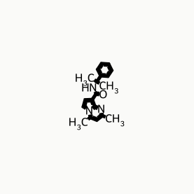 Cc1cc(C)n2ccc(C(=O)NC(C)(C)c3ccccc3)c2n1